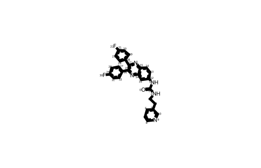 O=C(NCCc1cccnc1)Nc1ccc2nc(-c3ccc(F)cc3)c(-c3ccc(F)cc3)nc2c1